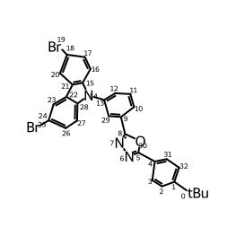 CC(C)(C)c1ccc(-c2nnc(-c3cccc(-n4c5ccc(Br)cc5c5cc(Br)ccc54)c3)o2)cc1